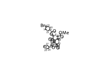 COC(=O)[C@@H]1C[C@H](OC(=O)c2ccc(Br)cc2)C(=O)[C@@H]2[C@@]3(C)C[C@@H](c4ccoc4)OC(=O)[C@H]3CC[C@]21C